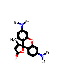 CCN(CC)c1ccc2c(c1)Oc1cc(N(CC)CC)ccc1C21OC(=O)C=C1C